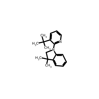 CC(C)(C)c1cccnc1N1CC(C)(C)c2ccccc21